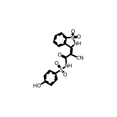 N#CC(C(=O)NS(=O)(=O)c1ccc(O)cc1)=C1NS(=O)(=O)c2ccccc21